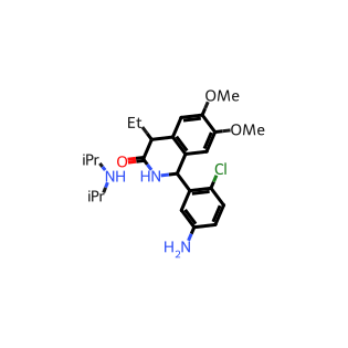 CC(C)NC(C)C.CCC1C(=O)NC(c2cc(N)ccc2Cl)c2cc(OC)c(OC)cc21